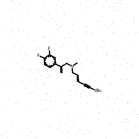 C=C(CN(C)CC=CC#CC(C)(C)C)c1ccc(F)c(F)c1